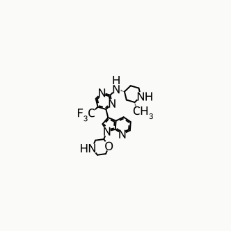 C[C@@H]1C[C@H](Nc2ncc(C(F)(F)F)c(-c3cn(C4CNCCO4)c4ncccc34)n2)CCN1